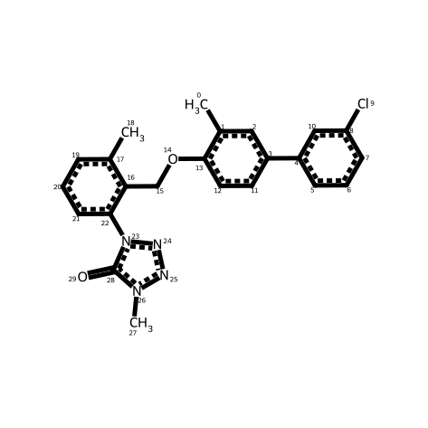 Cc1cc(-c2cccc(Cl)c2)ccc1OCc1c(C)cccc1-n1nnn(C)c1=O